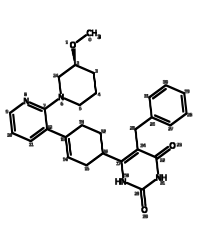 CO[C@H]1CCCN(c2ncccc2C2=CCC(c3[nH]c(=O)[nH]c(=O)c3Cc3ccccc3)CC2)C1